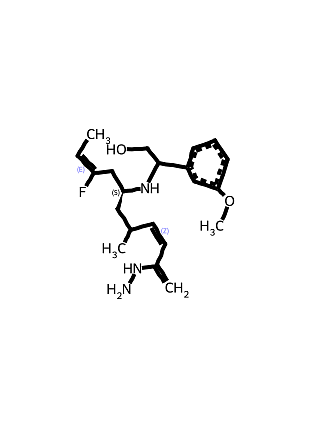 C=C(/C=C\C(C)C[C@@H](C/C(F)=C\C)NC(CO)c1cccc(OC)c1)NN